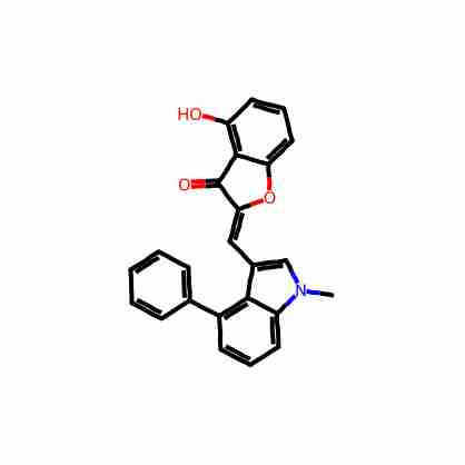 Cn1cc(C=C2Oc3cccc(O)c3C2=O)c2c(-c3ccccc3)cccc21